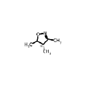 CC1=NOC(C)[C@H]1C